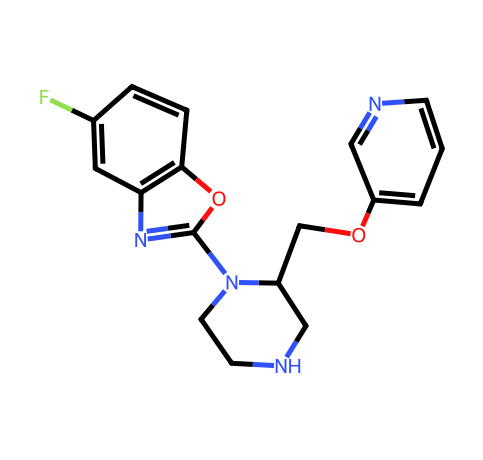 Fc1ccc2oc(N3CCNCC3COc3cccnc3)nc2c1